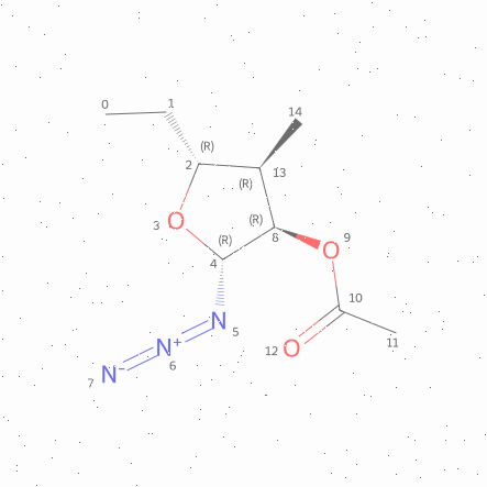 CC[C@H]1O[C@@H](N=[N+]=[N-])[C@H](OC(C)=O)[C@@H]1C